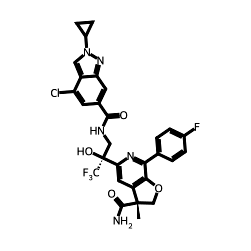 C[C@]1(C(N)=O)COc2c1cc([C@@](O)(CNC(=O)c1cc(Cl)c3cn(C4CC4)nc3c1)C(F)(F)F)nc2-c1ccc(F)cc1